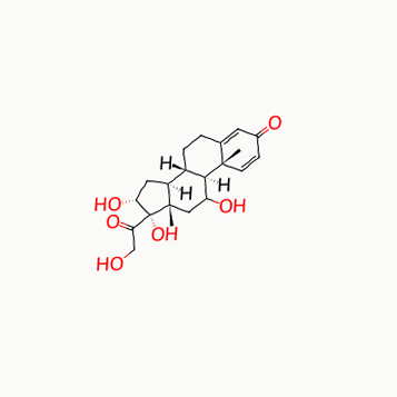 C[C@]12C=CC(=O)C=C1CC[C@@H]1[C@@H]2C(O)C[C@@]2(C)[C@H]1C[C@@H](O)[C@]2(O)C(=O)CO